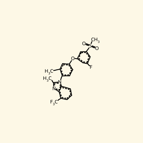 Cc1cc(Oc2cc(F)cc(S(C)(=O)=O)c2)ccc1-n1c(C)nc2c(C(F)(F)F)cccc21